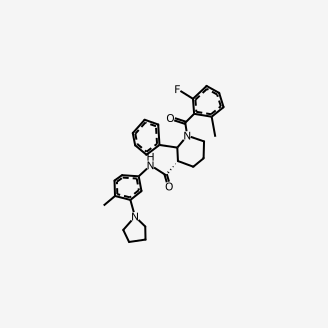 Cc1ccc(NC(=O)[C@H]2CCCN(C(=O)c3c(C)cccc3F)C2c2ccccc2)cc1N1CCCC1